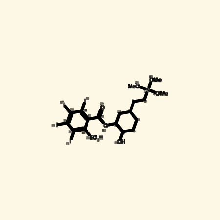 CO[Si](CCC1CCC(O)C(OC(=O)c2c(I)c(I)c(I)c(I)c2S(=O)(=O)O)C1)(OC)OC